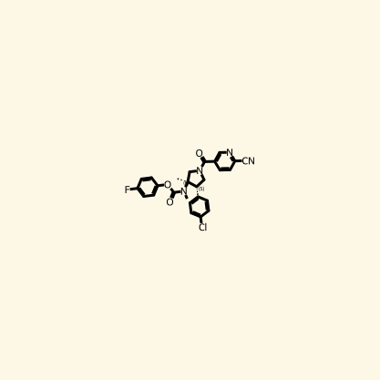 CN(C(=O)Oc1ccc(F)cc1)[C@@]1(C)CN(C(=O)c2ccc(C#N)nc2)C[C@@H]1c1ccc(Cl)cc1